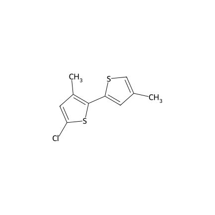 Cc1csc(-c2sc(Cl)cc2C)c1